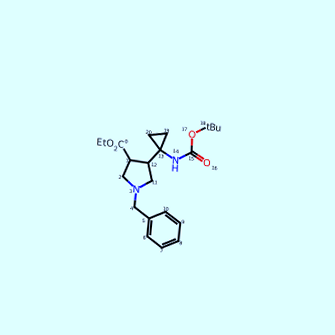 CCOC(=O)C1CN(Cc2ccccc2)CC1C1(NC(=O)OC(C)(C)C)CC1